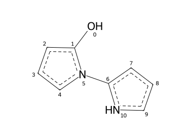 Oc1cccn1-c1ccc[nH]1